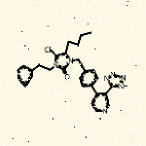 CCCCc1c(Cl)n(CCc2ccccc2)c(=O)n1Cc1ccc(-c2ccncc2-c2nnn[nH]2)cc1